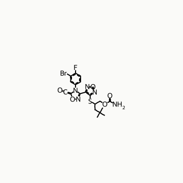 CC(C)(C)CC(COC(N)=O)Sc1nonc1C1=NOC(=C=O)N1c1ccc(F)c(Br)c1